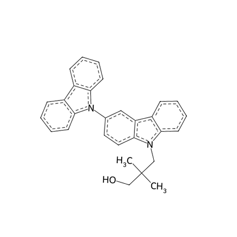 CC(C)(CO)Cn1c2ccccc2c2cc(-n3c4ccccc4c4ccccc43)ccc21